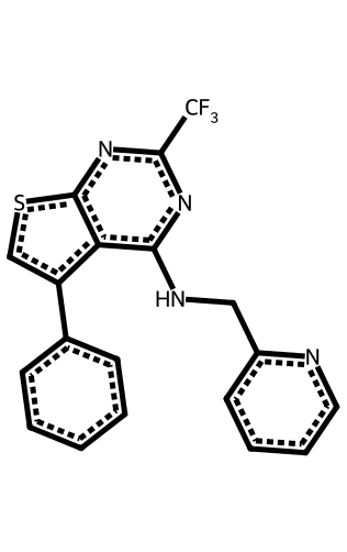 FC(F)(F)c1nc(NCc2ccccn2)c2c(-c3ccccc3)csc2n1